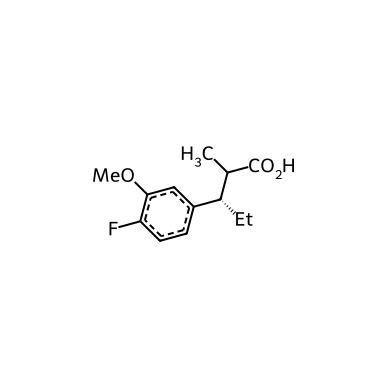 CC[C@H](c1ccc(F)c(OC)c1)C(C)C(=O)O